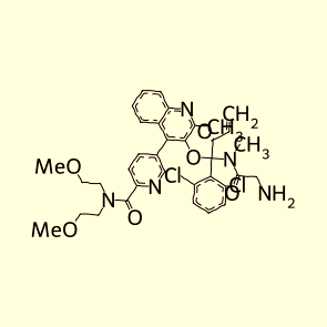 C=CC(=O)C(Oc1c(C)nc2ccccc2c1-c1ccc(C(=O)N(CCOC)CCOC)nc1)(c1c(Cl)cccc1Cl)N(C)C(=O)CN